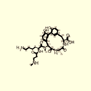 CNCCC(=O)N[C@@H](CCCCN)C(=O)N(C)[C@@H]1C(=O)N[C@@H](C)C(=O)N[C@H](C(=O)O)Cc2ccc(O)c(c2)-c2cc1ccc2O